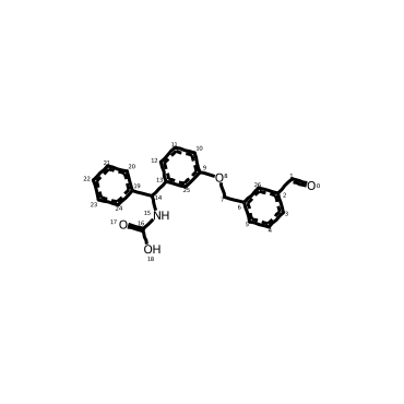 O=Cc1cccc(COc2cccc(C(NC(=O)O)c3ccccc3)c2)c1